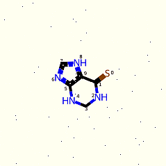 S=C1NCNc2nc[nH]c21